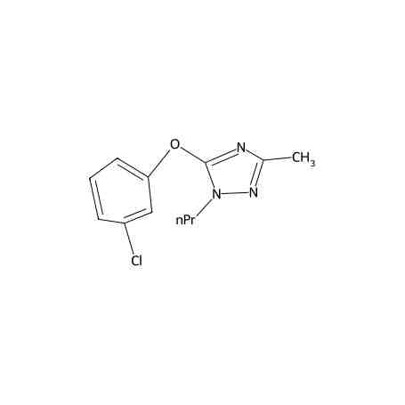 CCCn1nc(C)nc1Oc1cccc(Cl)c1